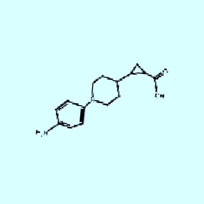 Nc1ccc(N2CCC(C3CC3C(=O)O)CC2)cc1